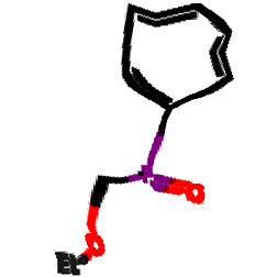 CCOC[P](=O)c1ccccc1